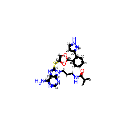 CC(C)C(=O)NCCCn1c(SC2=COC(c3ccccc3-c3cc[nH]n3)O2)nc2c(N)ncnc21